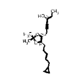 CC[C@H](O)C#CC[C@H]1OC(C)(C)O[C@@H]1CCCCCC1CC1